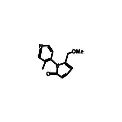 COCc1cccc(=O)n1-c1ccncc1C